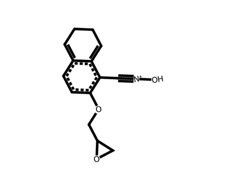 O[N+]#Cc1c(OCC2CO2)ccc2c1=CCCC=2